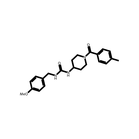 COc1ccc(CNC(=O)NC2CCN(C(=O)c3ccc(C)cc3)CC2)cc1